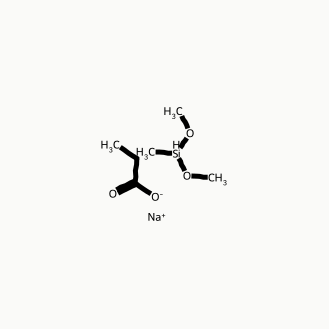 CCC(=O)[O-].CO[SiH](C)OC.[Na+]